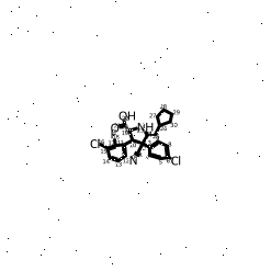 N#CC1(c2ccc(Cl)cc2)C(c2cccc(Cl)c2F)[C@H](C(=O)O)N[C@H]1CC1CCCC1